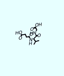 CC(C)[C@H](NC(=O)CCC(=O)O)C(=O)NCC(=O)O